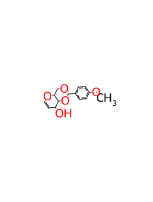 COc1ccc(C2OCC3OC=CC(O)C3O2)cc1